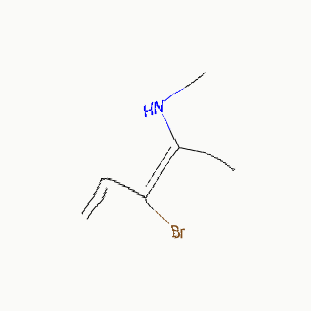 C=C/C(Br)=C(/C)NC